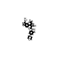 Nc1noc2ccc(-c3c(C(F)(F)F)n[nH]c3C(=O)Nc3ccc(N4CCOCC4)cc3F)cc12